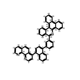 c1cc(-c2ccc(-c3ccnc4c3ccc3cccnc34)c3ccccc23)cc(-c2nc3c4ccccc4c4ccccc4c3c3ccccc23)c1